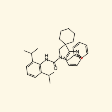 CC(C)c1cccc(C(C)C)c1NC(=O)N(Cc1ccccc1)CC1(c2ncccn2)CCCCC1